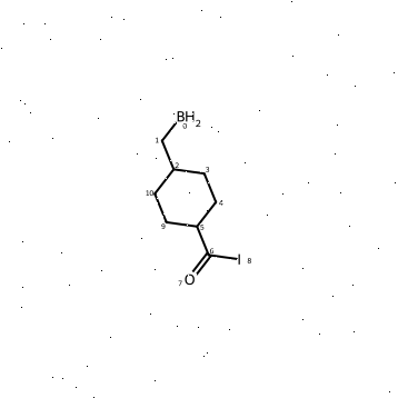 BCC1CCC(C(=O)I)CC1